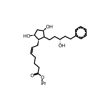 CC(C)OC(=O)CCC/C=C\C[C@@H]1C(CC[C@@H](O)CCc2ccccc2)[C@H](O)C[C@@H]1O